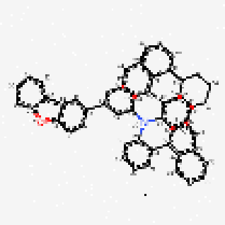 c1cc(-c2ccc3oc4ccccc4c3c2)cc(N(c2ccccc2-c2cccc3ccccc23)c2ccccc2-c2cccc3cccc(C4CCCCC4)c23)c1